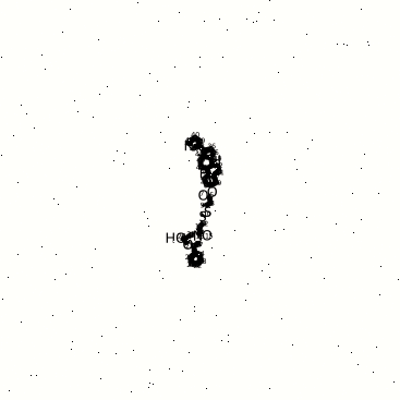 C[C@]12CC[C@H](OC(=O)CCSSCCC(=O)N(CCc3ccccc3)CC(=O)O)CC1=CC[C@H]1C3CC=C(c4cccnc4)[C@@]3(C)CC[C@@H]12